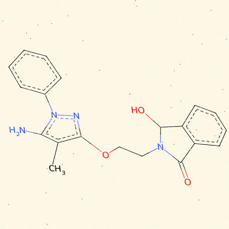 Cc1c(OCCN2C(=O)c3ccccc3C2O)nn(-c2ccccc2)c1N